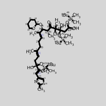 C/C(=C\C[C@](O)(O[Si](C)(C)C(C)(C)C)/C(C)=C/c1csc(C)n1)CC/C=C(\C)[C@H](OC1CCCCO1)[C@@H](C)C(=O)C(C)(C)[C@](O)(CC(O)O[Si](C)(C)C(C)(C)C)O[Si](C)(C)C(C)(C)C